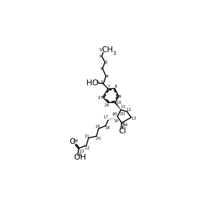 CCCCCC(O)c1ccc([C@H]2CC[C@@H](Cl)[C@@H]2CCCCCCC(=O)O)cc1